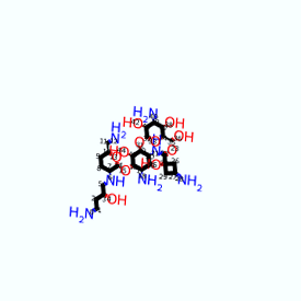 NCCC(O)CN[C@@H]1CC[C@@H](CN)O[C@@H]1OC1[C@@H](N)C[C@@H](NC(=O)C2(O)CC(N)C2)[C@H](O[C@H]2O[C@H](CO)[C@@H](O)[C@H](N)[C@H]2O)[C@H]1O